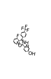 O=C(N[C@@H](c1ccc(C(F)(F)F)cc1)c1ncccc1F)c1ccc(O)cn1